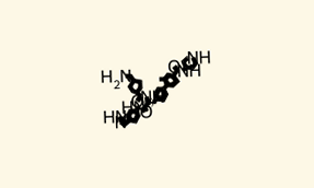 Cc1cc(C(=O)NC2CCNCC2)ccc1-c1ccc(C[C@H](NC(=O)C2CCC(CN)CC2)C(=O)Nc2ccc3cn[nH]c3c2)cc1